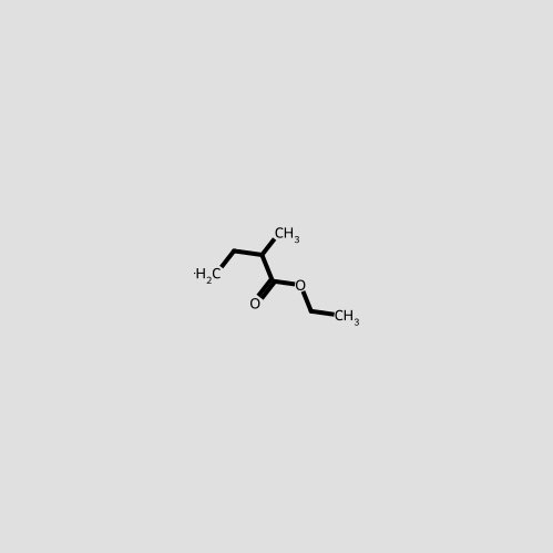 [CH2]CC(C)C(=O)OCC